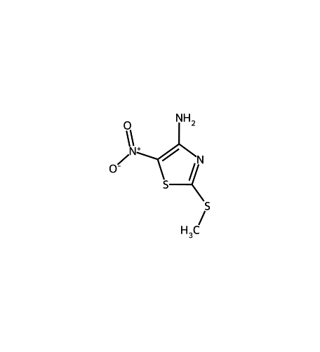 CSc1nc(N)c([N+](=O)[O-])s1